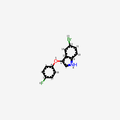 Fc1ccc(Oc2c[nH]c3ccc(Br)cc23)cc1